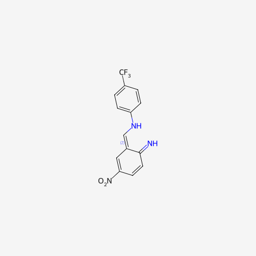 N=C1C=CC([N+](=O)[O-])=C/C1=C/Nc1ccc(C(F)(F)F)cc1